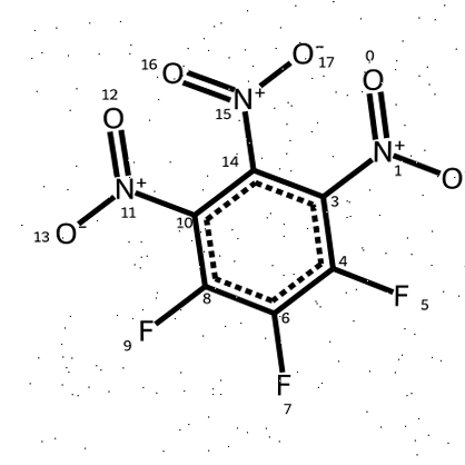 O=[N+]([O-])c1c(F)c(F)c(F)c([N+](=O)[O-])c1[N+](=O)[O-]